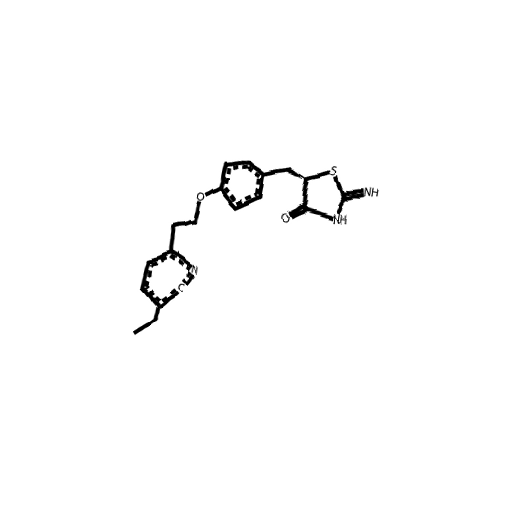 CCc1ccc(CCOc2ccc(C[C@H]3SC(=N)NC3=O)cc2)nc1